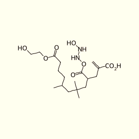 C=C(CC(CC(C)(C)CC(C)CCCC(=O)OCCO)C(=O)ONNO)C(=O)O